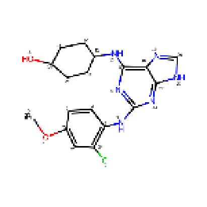 CC(C)Oc1ccc(Nc2nc(NC3CCC(O)CC3)c3nc[nH]c3n2)c(Cl)c1